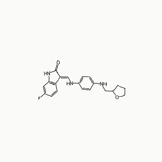 O=C1Nc2cc(F)ccc2/C1=C\Nc1ccc(NCC2CCCO2)cc1